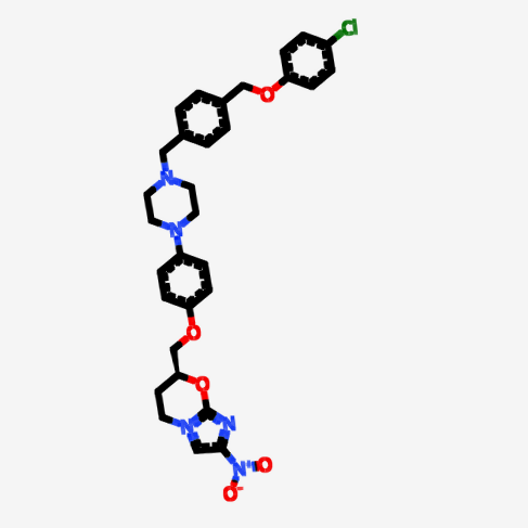 O=[N+]([O-])c1cn2c(n1)O[C@H](COc1ccc(N3CCN(Cc4ccc(COc5ccc(Cl)cc5)cc4)CC3)cc1)CC2